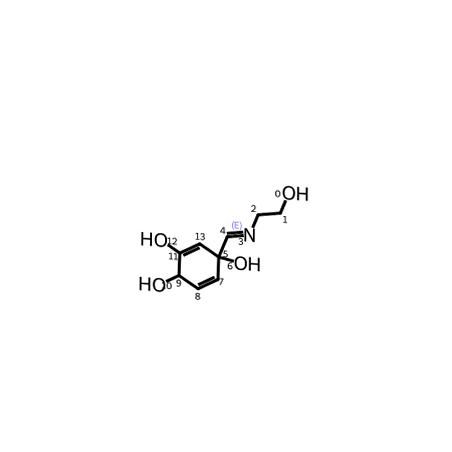 OCC/N=C/C1(O)C=CC(O)C(O)=C1